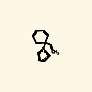 C=CC1(n2cccc2)C=CC=CC1